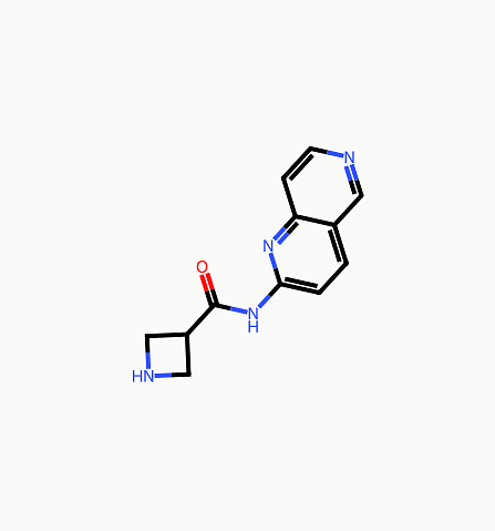 O=C(Nc1ccc2cnccc2n1)C1CNC1